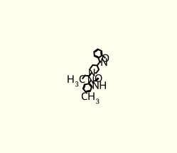 CCC(N1CCC(c2noc3ccccc23)CC1)n1c(=O)[nH]c2cc(C)ccc21